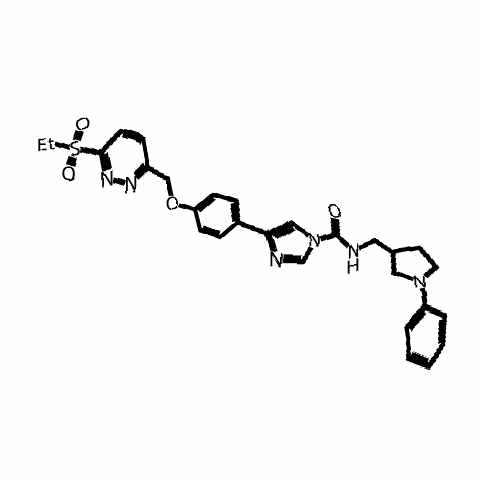 CCS(=O)(=O)c1ccc(COc2ccc(-c3cn(C(=O)NCC4CCN(c5ccccc5)C4)cn3)cc2)nn1